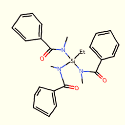 CC[Si](N(C)C(=O)c1ccccc1)(N(C)C(=O)c1ccccc1)N(C)C(=O)c1ccccc1